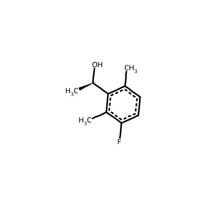 Cc1ccc(F)c(C)c1[C@@H](C)O